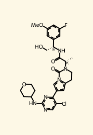 COc1cc(F)cc([C@@H](CO)NC(=O)[C@H](C)N2CCc3cc(-c4nc(NC5CCOCC5)ncc4Cl)cn3C2=O)c1